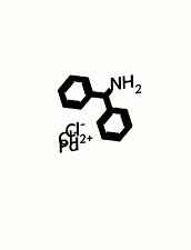 NC(c1ccccc1)c1ccccc1.[Cl-].[Cl-].[Pd+2]